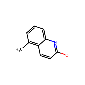 Cc1cccc2nc([O])ccc12